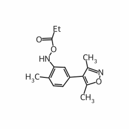 CCC(=O)ONc1cc(-c2c(C)noc2C)ccc1C